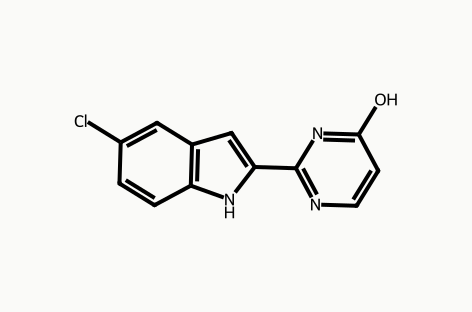 Oc1ccnc(-c2cc3cc(Cl)ccc3[nH]2)n1